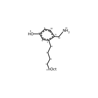 CCCCCCCCCCCCc1cc(O)[c]cc1CN